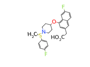 C=S(c1ccc(F)cc1)N1CCC(Oc2cc(CC(=O)O)cc3ccc(F)cc23)CC1